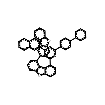 c1ccc(-c2ccc(-c3nc(-c4ccc5ccccc5c4)nc(-c4cccc5oc6cccc(-c7ccc8oc9ccccc9c8c7)c6c45)n3)cc2)cc1